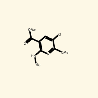 COC(=O)c1cc(Cl)c(OC)nc1NC(C)(C)C